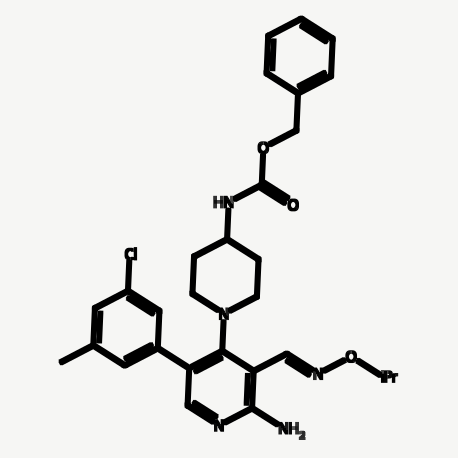 Cc1cc(Cl)cc(-c2cnc(N)c(/C=N/OC(C)C)c2N2CCC(NC(=O)OCc3ccccc3)CC2)c1